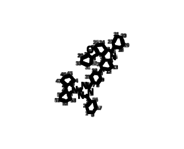 c1ccc(-c2nc(-c3ccc(-c4ccc5nc(-c6ccccc6)c6ccc7oc8ccccc8c7c6c5c4)cc3)nc(-n3c4ccccc4c4ccccc43)n2)cc1